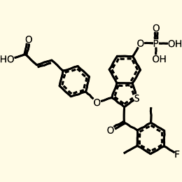 Cc1cc(F)cc(C)c1C(=O)c1sc2cc(OP(=O)(O)O)ccc2c1Oc1ccc(/C=C/C(=O)O)cc1